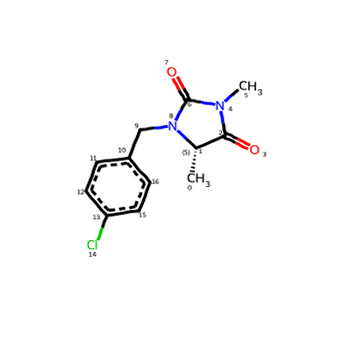 C[C@H]1C(=O)N(C)C(=O)N1Cc1ccc(Cl)cc1